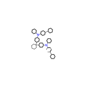 C/C(=C\C=C(/C)N(c1ccccc1)c1ccc(C2(c3ccc(N(c4ccccc4)c4ccc(-c5ccccc5)cc4)cc3)CCCCC2)cc1)c1ccccc1